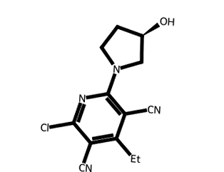 CCc1c(C#N)c(Cl)nc(N2CC[C@@H](O)C2)c1C#N